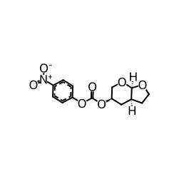 O=C(Oc1ccc([N+](=O)[O-])cc1)O[C@H]1CO[C@H]2OCC[C@H]2C1